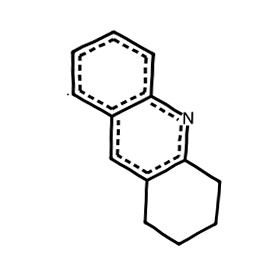 [c]1cccc2nc3c(cc12)CCCC3